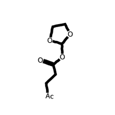 CC(=O)CCC(=O)OC1OCCO1